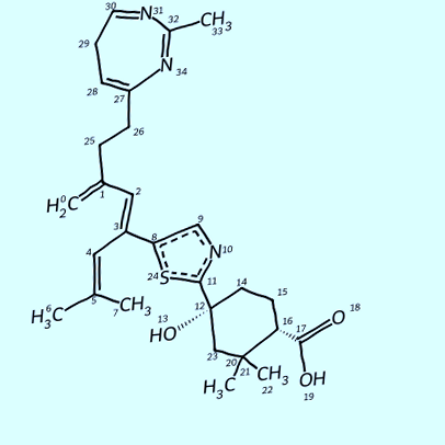 C=C(/C=C(\C=C(C)C)c1cnc([C@@]2(O)CC[C@H](C(=O)O)C(C)(C)C2)s1)CCC1=CCC=NC(C)=N1